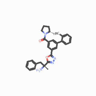 CCC[C@H]1CCCN1C(=O)c1cc(-c2nnc([C@](C)(N)Cc3ccccc3)o2)cc(-c2ccccc2C#N)c1